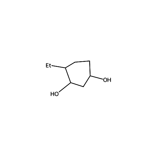 CCC1CCC(O)CC1O